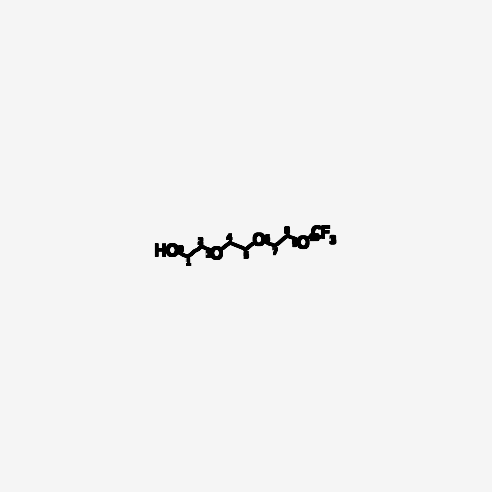 OCCOCCOCCOC(F)(F)F